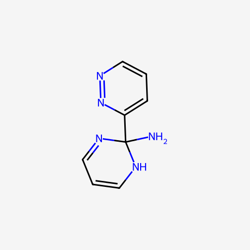 NC1(c2cccnn2)N=CC=CN1